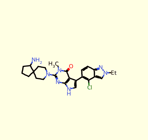 CCn1cc2c(Cl)c(-c3c[nH]c4nc(N5CCC6(CCCC6N)CC5)n(C)c(=O)c34)ccc2n1